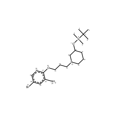 CC(C)(C)[Si](C)(C)OC1CCCN(CCCOc2ncc(Br)cc2N)C1